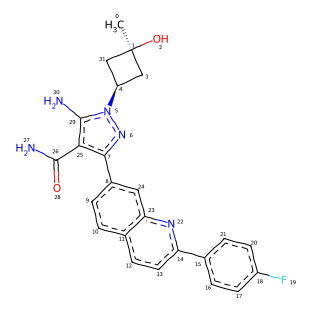 C[C@]1(O)C[C@@H](n2nc(-c3ccc4ccc(-c5ccc(F)cc5)nc4c3)c(C(N)=O)c2N)C1